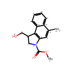 CC(C)(C)OC(=O)N1CC(CO)c2c1cc([N+](=O)[O-])c1ccccc21